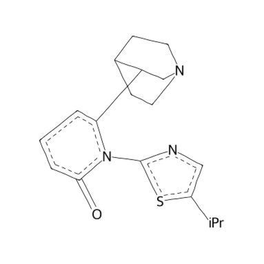 CC(C)c1cnc(-n2c(C3CN4CCC3CC4)cccc2=O)s1